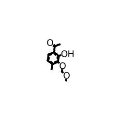 COCOc1c(C)ccc(C(C)=O)c1O